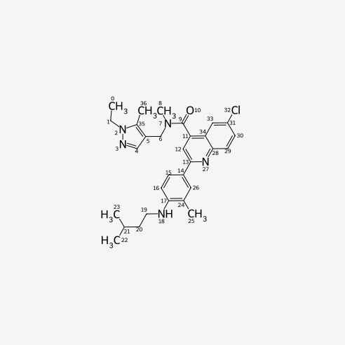 CCn1ncc(CN(C)C(=O)c2cc(-c3ccc(NCCC(C)C)c(C)c3)nc3ccc(Cl)cc23)c1C